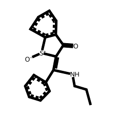 CCCNC(=C1C(=O)c2ccccc2[S+]1[O-])c1ccccc1